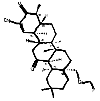 [C-]#[N+]C1=C[C@]2(C)[C@H]3CC(=O)[C@@H]4[C@@H]5CC(C)(C)CC[C@]5(COCF)CC[C@@]4(C)[C@]3(C)CC[C@H]2[C@H](C)C1=O